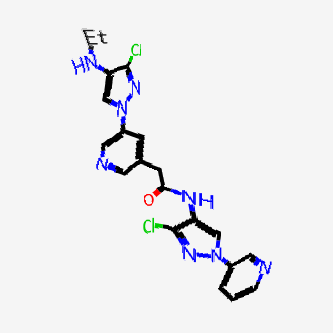 CCNc1cn(-c2cncc(CC(=O)Nc3cn(-c4cccnc4)nc3Cl)c2)nc1Cl